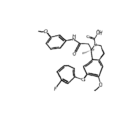 COc1cccc(NC(=O)C[C@]2(C)c3cc(Oc4cccc(F)c4)c(OC)cc3CCN2C(=O)O)c1